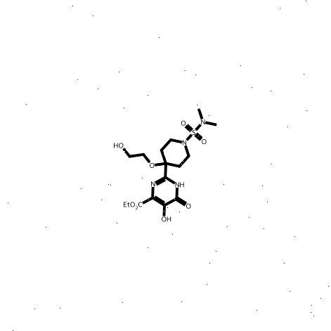 CCOC(=O)c1nc(C2(OCCO)CCN(S(=O)(=O)N(C)C)CC2)[nH]c(=O)c1O